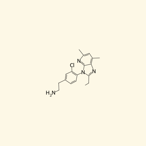 CCc1nc2c(C)cc(C)nc2n1-c1ccc(CCN)cc1Cl